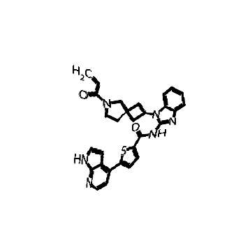 C=CC(=O)N1CC[C@]2(C1)C[C@H](n1c(NC(=O)c3ccc(-c4ccnc5[nH]ccc45)s3)nc3ccccc31)C2